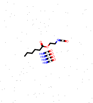 CCCCCC(=O)OCCN=C=O.N=C=O.N=C=O.N=C=O.N=C=O